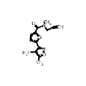 C#CCN(C)C(=O)c1ccc(-c2noc(C(F)(F)F)c2C)s1